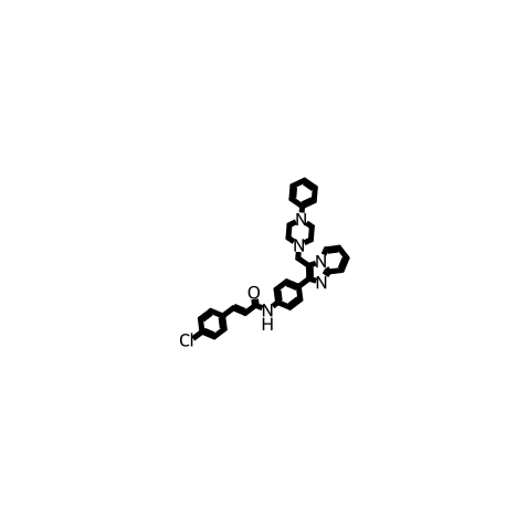 O=C(C=Cc1ccc(Cl)cc1)Nc1ccc(-c2nc3ccccn3c2CN2CCN(c3ccccc3)CC2)cc1